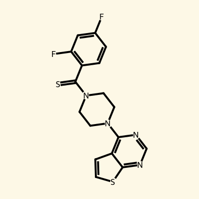 Fc1ccc(C(=S)N2CCN(c3ncnc4sccc34)CC2)c(F)c1